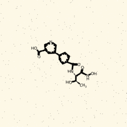 C[C@@H](O)[C@H](NC(=O)c1ccc(-c2cncc(C(=O)O)c2)cc1)C(=O)NO